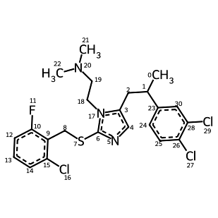 CC(Cc1cnc(SCc2c(F)cccc2Cl)n1CCN(C)C)c1ccc(Cl)c(Cl)c1